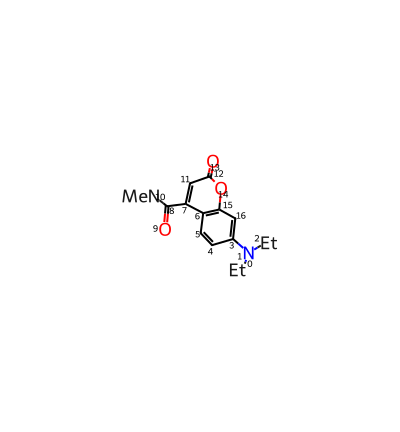 CCN(CC)c1ccc2c(C(=O)NC)cc(=O)oc2c1